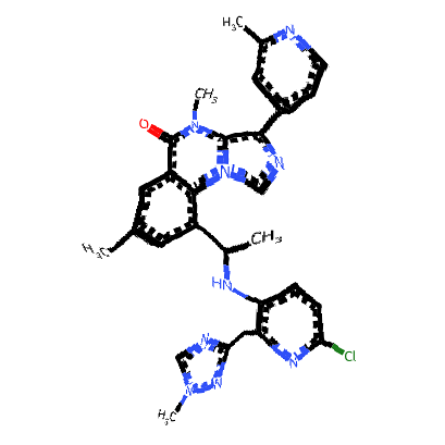 Cc1cc(C(C)Nc2ccc(Cl)nc2-c2ncn(C)n2)c2c(c1)c(=O)n(C)c1c(-c3ccnc(C)c3)ncn21